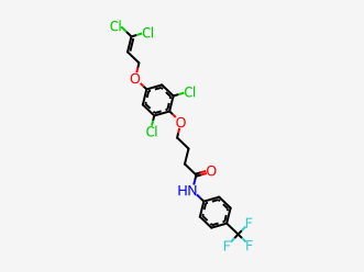 O=C(CCCOc1c(Cl)cc(OCC=C(Cl)Cl)cc1Cl)Nc1ccc(C(F)(F)F)cc1